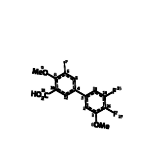 COc1cc(-c2cc(C)c(OC)c(C(=O)O)c2)cc(F)c1F